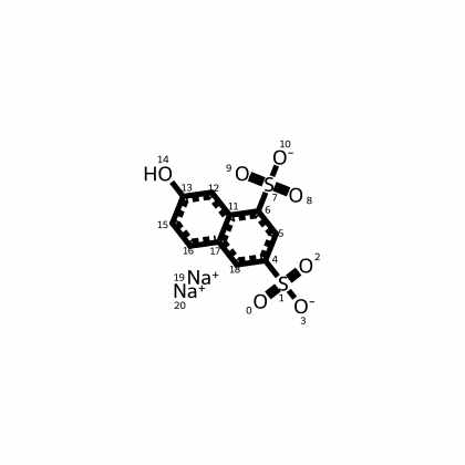 O=S(=O)([O-])c1cc(S(=O)(=O)[O-])c2cc(O)ccc2c1.[Na+].[Na+]